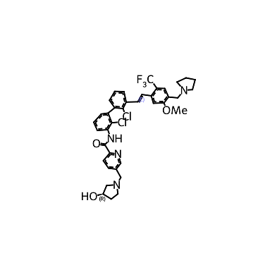 COc1cc(/C=C/c2cccc(-c3cccc(NC(=O)c4ccc(CN5CC[C@@H](O)C5)cn4)c3Cl)c2Cl)c(C(F)(F)F)cc1CN1CCCC1